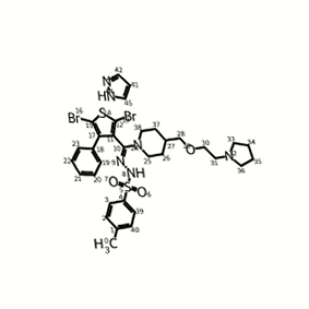 Cc1ccc(S(=O)(=O)NN=C(c2c(Br)sc(Br)c2-c2ccccc2)N2CCC(COCCN3CCCC3)CC2)cc1.c1cn[nH]c1